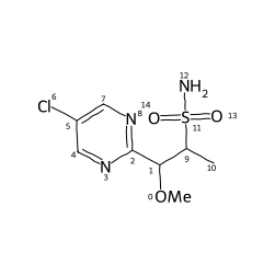 COC(c1ncc(Cl)cn1)C(C)S(N)(=O)=O